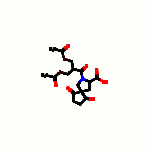 CC(=O)SCC(CSC(C)=O)C(=O)N1CC2(CC1C(=O)O)C(=O)CCC2=O